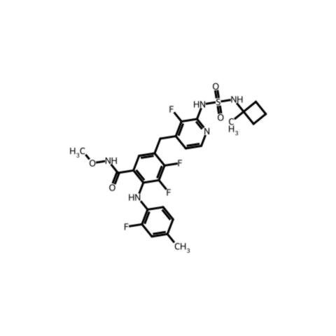 CONC(=O)c1cc(Cc2ccnc(NS(=O)(=O)NC3(C)CCC3)c2F)c(F)c(F)c1Nc1ccc(C)cc1F